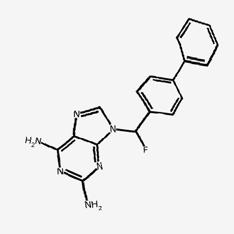 Nc1nc(N)c2ncn(C(F)c3ccc(-c4ccccc4)cc3)c2n1